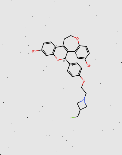 Oc1ccc2c(c1)O[C@H](c1ccc(OCCN3CC(CF)C3)cc1)C1=C2CCOc2ccc(O)cc21